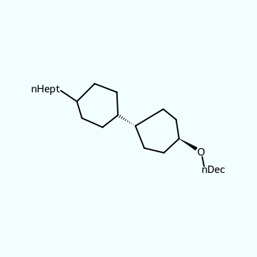 CCCCCCCCCCO[C@H]1CC[C@H](C2CCC(CCCCCCC)CC2)CC1